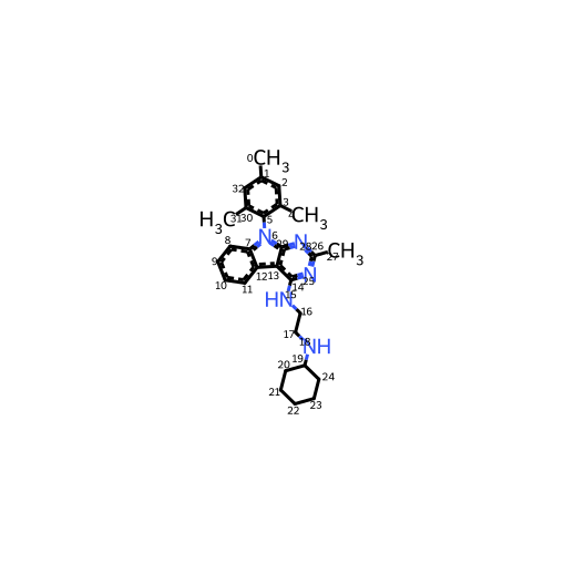 Cc1cc(C)c(-n2c3ccccc3c3c(NCCNC4CCCCC4)nc(C)nc32)c(C)c1